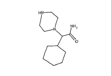 NC(=O)C(C1CCCCC1)N1CCNCC1